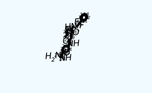 Cc1cnc(NCC(F)(F)c2ccccc2)c(=O)n1CC(=O)NC1CCN(C(=N)N)OC1